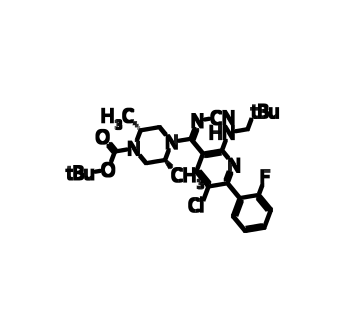 C[C@@H]1CN(/C(=N/C#N)c2cc(Cl)c(-c3ccccc3F)nc2NCC(C)(C)C)[C@@H](C)CN1C(=O)OC(C)(C)C